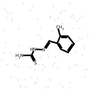 Cc1ccccc1C=NNC(N)=S